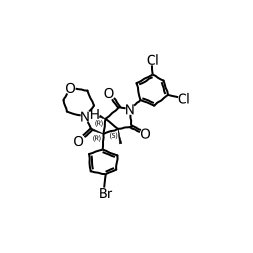 C[C@]12C(=O)N(c3cc(Cl)cc(Cl)c3)C(=O)[C@H]1[C@@]2(C(=O)N1CCOCC1)c1ccc(Br)cc1